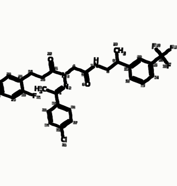 C/C(=N\N(CC(=O)NCC(C)c1cccc(C(F)(F)F)c1)C(=O)CCc1ccccc1F)c1ccc(Cl)cc1